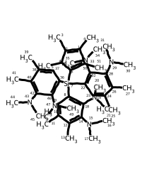 CC1=C(C)C(C)C([Si](c2cc(C)c(C)c(N(C)C)c2N(C)C)(c2cc(C)c(C)c(N(C)C)c2N(C)C)c2cc(C)c(C)c(N(C)C)c2N(C)C)=C1C